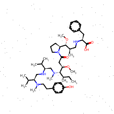 CC[C@H](C)[C@@H]([C@@H](CC(=O)N1CCC[C@H]1[C@H](OC)[C@H](C)CN[C@@H](Cc1ccccc1)C(=O)O)OC)N(C)C[C@@H](NC[C@H](C(C)C)N(C)CCc1ccc(O)cc1)C(C)C